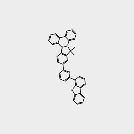 CC1(C)B2c3ccccc3-c3ccccc3N2c2ccc(-c3cccc(-c4cccc5c4oc4ccccc45)n3)cc21